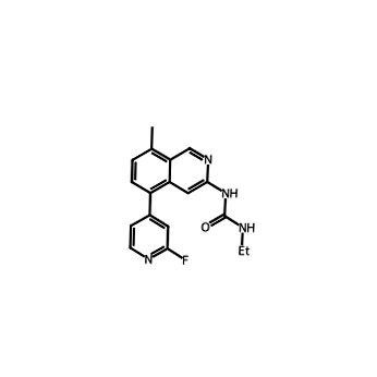 CCNC(=O)Nc1cc2c(-c3ccnc(F)c3)ccc(C)c2cn1